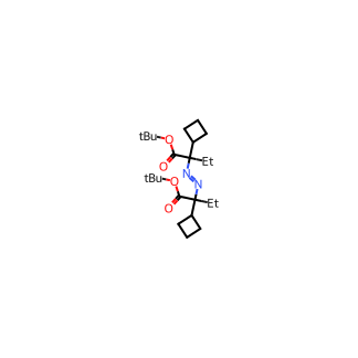 CCC(N=NC(CC)(C(=O)OC(C)(C)C)C1CCC1)(C(=O)OC(C)(C)C)C1CCC1